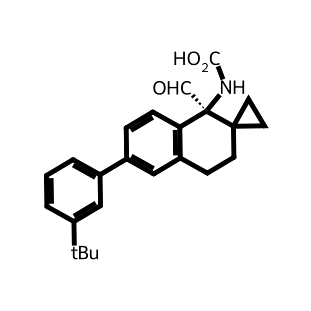 CC(C)(C)c1cccc(-c2ccc3c(c2)CCC2(CC2)[C@]3(C=O)NC(=O)O)c1